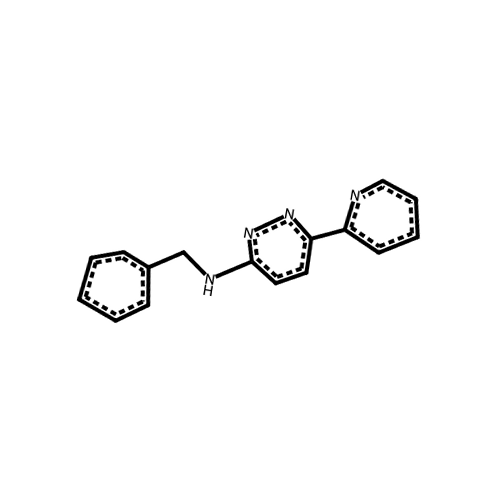 c1ccc(CNc2ccc(-c3ccccn3)nn2)cc1